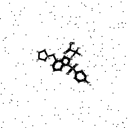 O=C(O)C(F)(F)F.O=S(=O)(c1ccc(F)cc1)n1ccc2c(CN3CCCC3)cccc21